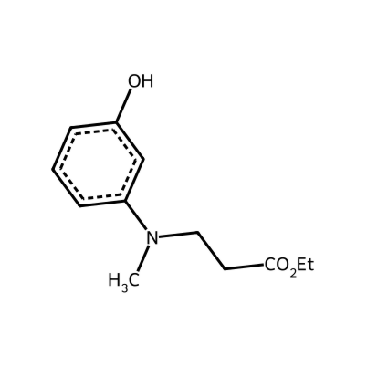 CCOC(=O)CCN(C)c1cccc(O)c1